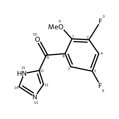 COc1c(F)cc(F)cc1C(=O)c1cnc[nH]1